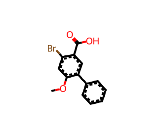 COc1cc(Br)c(C(=O)O)cc1-c1ccccc1